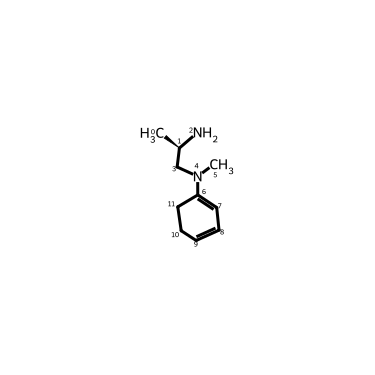 C[C@@H](N)CN(C)C1=CC=CCC1